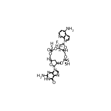 Nc1nc2c(ncn2[C@@H]2O[C@@H]3CO[P@@](=O)(S)O[C@H]4[C@H](F)[C@H](n5ccc6c(N)ccnc65)O[C@@H]4CO[P@@](=S)(S)O[C@@H]2C3)c(=O)[nH]1